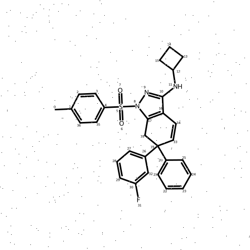 Cc1ccc(S(=O)(=O)n2nc(NC3CCC3)c3c2CC(c2ccccc2)(c2cccc(F)c2)C=C3)cc1